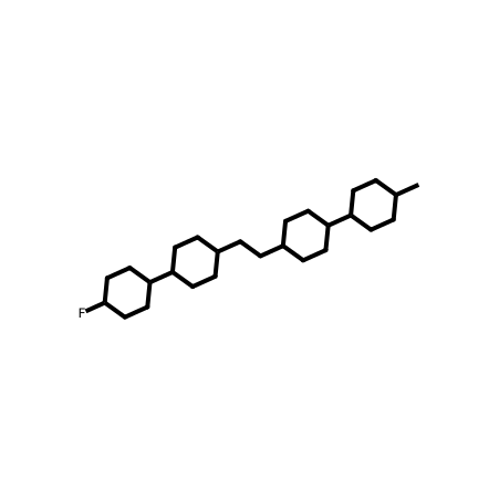 CC1CCC(C2CCC(CCC3CCC(C4CCC(F)CC4)CC3)CC2)CC1